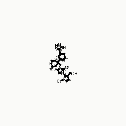 CCCCc1cn(-c2c(CO)ccn2CC)c(=O)n1CC1(c2cccc(-c3nnn[nH]3)c2)C=CN=CC1